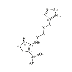 O=[N+]([O-])C1=C(NCCSCc2ccsn2)NCC1